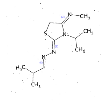 C/N=C1/CS/C(=N\N=C\C(C)C)N1C(C)C